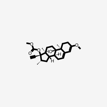 C#C[C@]1(OC(=O)OC)[C@@H](C)C[C@H]2[C@@H]3CC=C4C=C(OC)CC[C@]4(C)[C@@]3(O)CC[C@@]21C